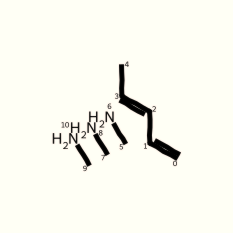 C=CC=CC.CN.CN.CN